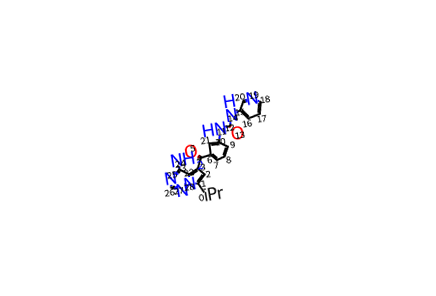 CC(C)c1cc(C(=O)c2cccc(NC(=O)Nc3cccnc3)c2)c2c(N)ncnn12